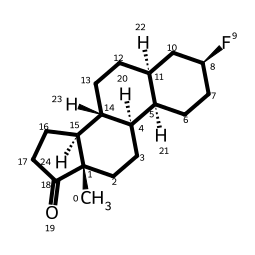 C[C@]12CC[C@@H]3[C@@H]4CC[C@H](F)C[C@@H]4CC[C@H]3[C@@H]1CCC2=O